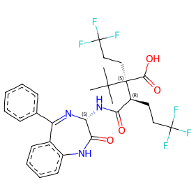 CC(C)(C)[C@@](CCC(F)(F)F)(C(=O)O)[C@@H](CCC(F)(F)F)C(=O)N[C@H]1N=C(c2ccccc2)c2ccccc2NC1=O